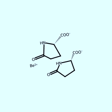 O=C1CC[C@@H](C(=O)[O-])N1.O=C1CC[C@@H](C(=O)[O-])N1.[Be+2]